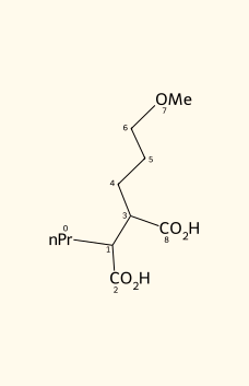 CCCC(C(=O)O)C(CCCOC)C(=O)O